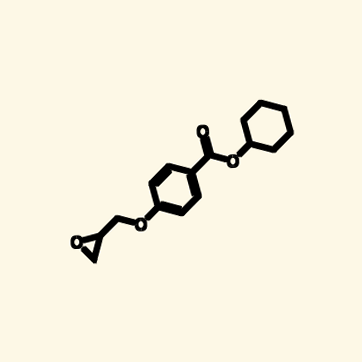 O=C(OC1CCCCC1)c1ccc(OCC2CO2)cc1